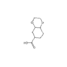 O=C(O)C1CCC2OCCOC2C1